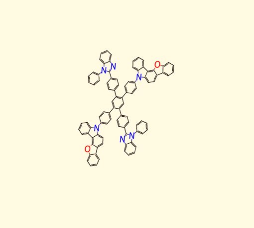 c1ccc(-n2c(-c3ccc(-c4cc(-c5ccc(-n6c7ccccc7c7c8oc9ccccc9c8ccc76)cc5)c(-c5ccc(-c6nc7ccccc7n6-c6ccccc6)cc5)cc4-c4ccc(-n5c6ccccc6c6c7oc8ccccc8c7ccc65)cc4)cc3)nc3ccccc32)cc1